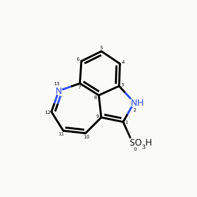 O=S(=O)(O)c1[nH]c2cccc3c2c1C=CC=N3